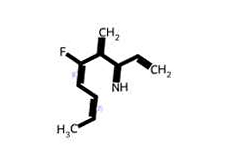 C=CC(=N)C(=C)/C(F)=C\C=C/C